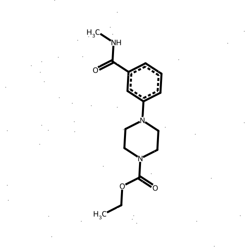 CCOC(=O)N1CCN(c2cccc(C(=O)NC)c2)CC1